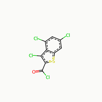 O=C(Cl)c1sc2cc(Cl)cc(Cl)c2c1Cl